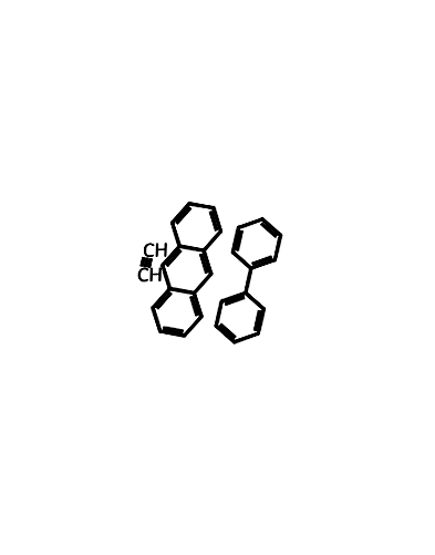 C#C.c1ccc(-c2ccccc2)cc1.c1ccc2cc3ccccc3cc2c1